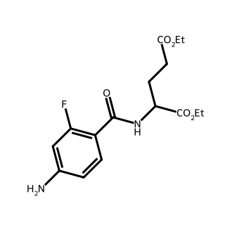 CCOC(=O)CCC(NC(=O)c1ccc(N)cc1F)C(=O)OCC